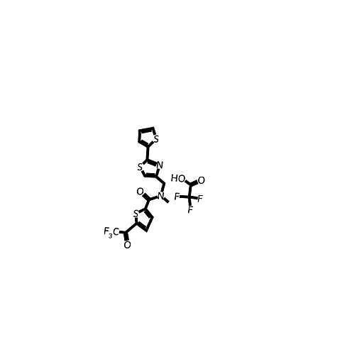 CN(Cc1csc(-c2cccs2)n1)C(=O)c1ccc(C(=O)C(F)(F)F)s1.O=C(O)C(F)(F)F